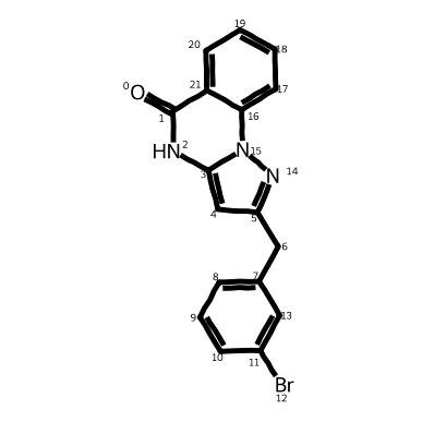 O=c1[nH]c2cc(Cc3cccc(Br)c3)nn2c2ccccc12